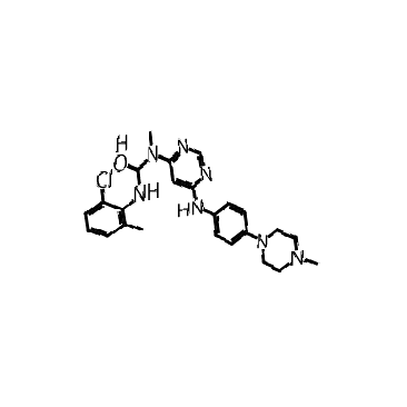 Cc1cccc(Cl)c1NC(O)N(C)c1cc(Nc2ccc(N3CCN(C)CC3)cc2)ncn1